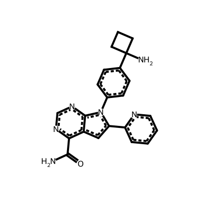 NC(=O)c1ncnc2c1cc(-c1ccccn1)n2-c1ccc(C2(N)CCC2)cc1